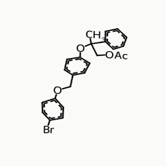 CC(=O)OCC(C)(Oc1ccc(COc2ccc(Br)cc2)cc1)c1ccccc1